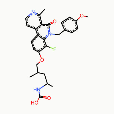 COc1ccc(Cn2c(=O)c3c(C)nccc3c3ccc(OCC(C)CC(C)NC(=O)O)c(F)c32)cc1